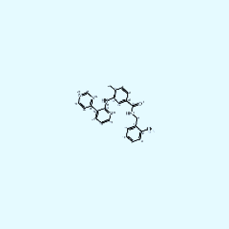 Cc1ccc(C(=O)NCc2ccccc2C(F)(F)F)cc1Nc1ncccc1-c1ccncn1